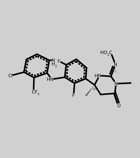 CN1C(=O)C[C@@](C)(c2ccc(F)c(Nc3c(N)ccc(Cl)c3C(F)(F)F)c2F)N/C1=N\C(=O)O